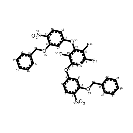 O=[N+]([O-])c1ccc(Oc2nc(F)c(F)c(Oc3ccc([N+](=O)[O-])c(OCc4ccccc4)c3)c2F)cc1OCc1ccccc1